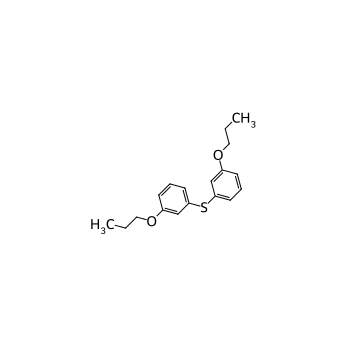 CCCOc1cccc(Sc2cccc(OCCC)c2)c1